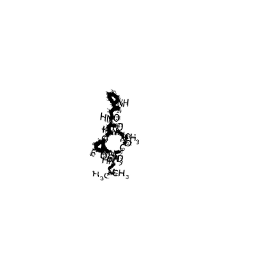 CN(C)CCNC(=O)[C@@H]1CCC(=O)N(C)CC(=O)N2C[C@H](NC(=O)Cc3c[nH]c4ccccc34)C[C@H]2COc2ccc(F)cc2C(=O)N1C